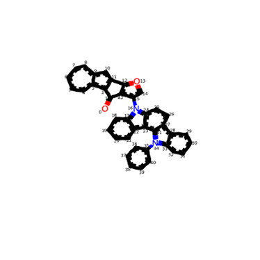 O=C1c2c3cccccc-3cc2-c2occ(-n3c4ccccc4c4c3ccc3c5ccccc5n(-c5ccccc5)c34)c21